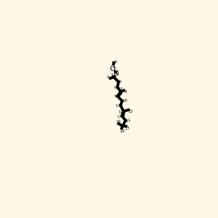 CO/N=C(\C)CC/C(C)=C/CC/C(C)=C/CC(C)(C)C